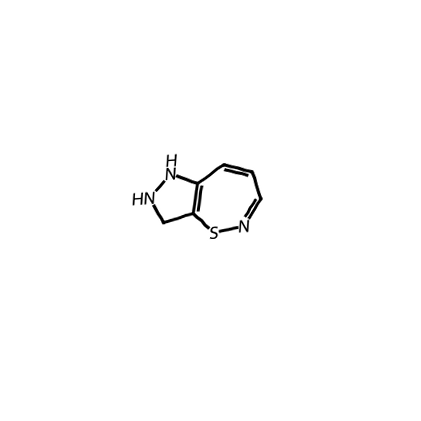 C1=CC2=C(CNN2)SN=C1